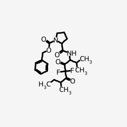 CCC(C)C(=O)C(F)(F)C(=O)C(NC(=O)C1CCCN1C(=O)OCc1ccccc1)C(C)C